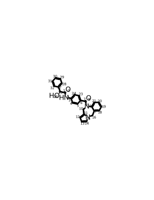 O=C(Nc1ccc(C(=O)N2Cc3cccn3Cc3ccccc32)cc1)C(O)c1ccccc1